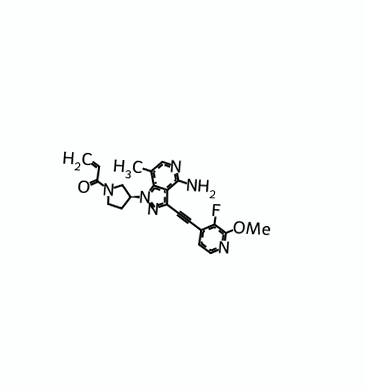 C=CC(=O)N1CC[C@H](n2nc(C#Cc3ccnc(OC)c3F)c3c(N)ncc(C)c32)C1